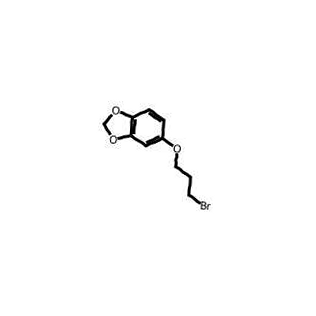 BrCCCOc1ccc2c(c1)OCO2